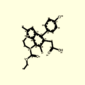 CCOC(=O)N1CCn2c(C)cc3c(-c4ccc(Cl)cc4)c(CC(=O)O)c(C)c1c32